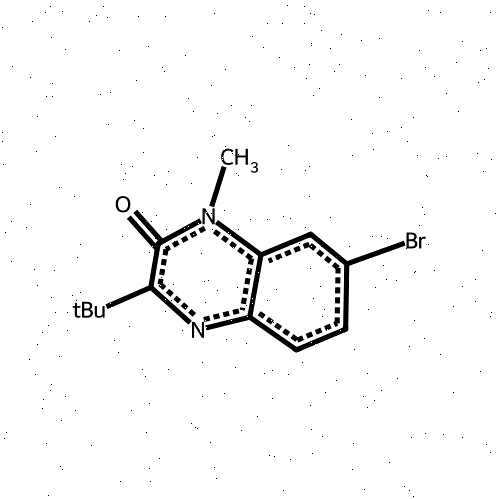 Cn1c(=O)c(C(C)(C)C)nc2ccc(Br)cc21